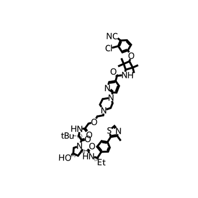 CC[C@H](NC(=O)[C@@H]1C[C@@H](O)CN1C(=O)[C@@H](NC(=O)COCCN1CCN(c2ccc(C(=O)NC3C(C)(C)C(Oc4ccc(C#N)c(Cl)c4)C3(C)C)cn2)CC1)C(C)(C)C)c1ccc(-c2scnc2C)cc1